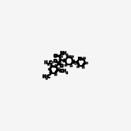 Cc1cc(C)c(S(=O)(=O)C(C(N)=O)N2CCN(c3ccccn3)CC2)c(C)c1